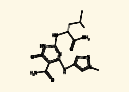 CC(C)C[C@@H](Nc1nc(Nc2cnn(C)c2)c(C(N)=O)c(=O)[nH]1)C(N)=O